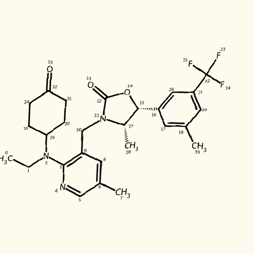 CCN(c1ncc(C)cc1CN1C(=O)O[C@H](c2cc(C)cc(C(F)(F)F)c2)[C@@H]1C)C1CCC(=O)CC1